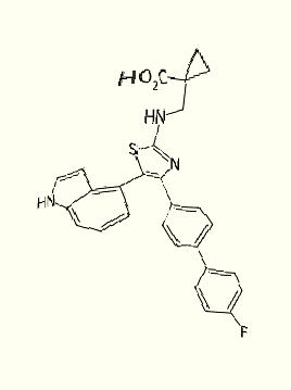 O=C(O)C1(CNc2nc(-c3ccc(-c4ccc(F)cc4)cc3)c(-c3cccc4[nH]ccc34)s2)CC1